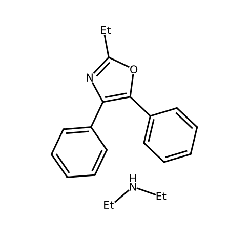 CCNCC.CCc1nc(-c2ccccc2)c(-c2ccccc2)o1